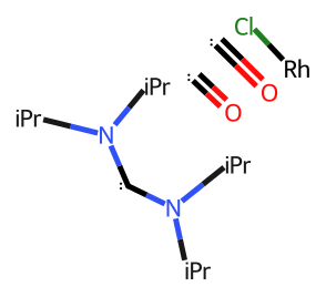 CC(C)N([C]N(C(C)C)C(C)C)C(C)C.[C]=O.[C]=O.[Cl][Rh]